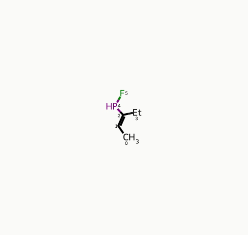 C/C=C(\CC)PF